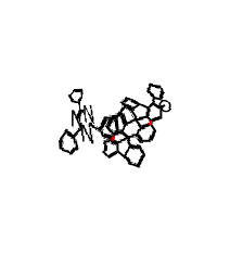 c1ccc(-c2nc(-c3ccccc3)nc(-c3cccc(-c4cccc5c4C4(c6ccccc6C6(c7ccccc7-c7ccccc76)c6ccccc64)c4ccc6oc7ccccc7c6c4-5)c3)n2)cc1